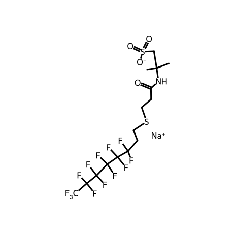 CC(C)(CS(=O)(=O)[O-])NC(=O)CCSCCC(F)(F)C(F)(F)C(F)(F)C(F)(F)C(F)(F)C(F)(F)F.[Na+]